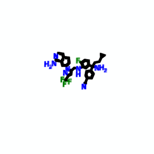 N#Cc1ccc(C(N)(CCC2CC2)c2ccc(F)c(NCc3cc(C(F)(F)F)nn3-c3ccc4ccnc(N)c4c3)c2)cc1